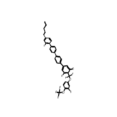 CCCCCc1ccc(-c2ccc(-c3ccc(-c4cc(F)c(C(F)(F)Oc5ccc(OC(F)(F)F)c(F)c5)c(F)c4)cc3)cc2)c(F)c1